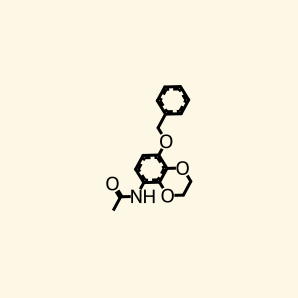 CC(=O)Nc1ccc(OCc2ccccc2)c2c1OCCO2